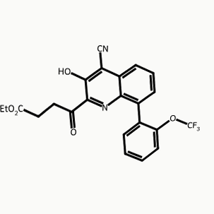 CCOC(=O)CCC(=O)c1nc2c(-c3ccccc3OC(F)(F)F)cccc2c(C#N)c1O